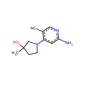 CC1(O)CCN(c2cc(N)ncc2C#N)C1